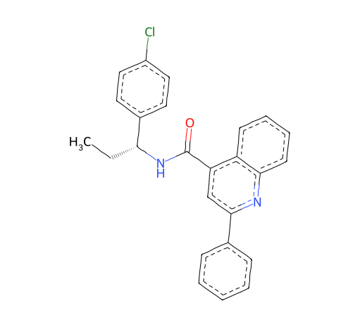 CC[C@@H](NC(=O)c1cc(-c2ccccc2)nc2ccccc12)c1ccc(Cl)cc1